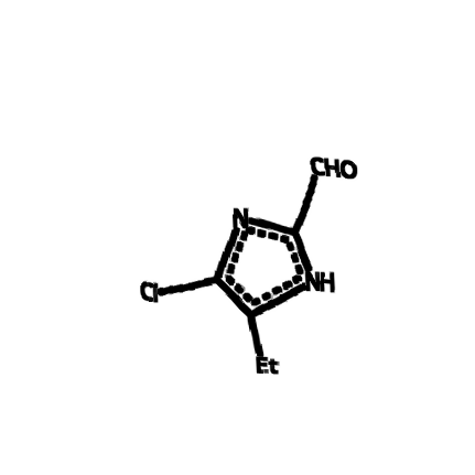 CCc1[nH]c(C=O)nc1Cl